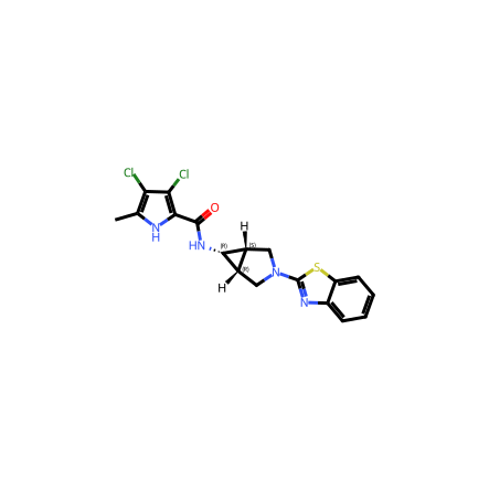 Cc1[nH]c(C(=O)N[C@@H]2[C@@H]3CN(c4nc5ccccc5s4)C[C@@H]32)c(Cl)c1Cl